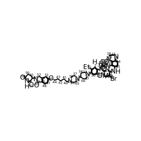 CCc1cc(Nc2ncc(Br)c(Nc3ccc4nccnc4c3NS(C)(=O)=O)n2)c(OC)cc1N1CCC(N2CCN(CCCCCOc3ccc4c(c3)CN(C3CCC(=O)NC3=O)C4=O)CC2)CC1